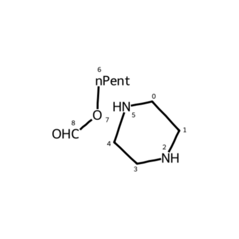 C1CNCCN1.CCCCCOC=O